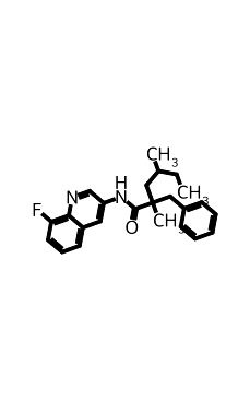 CCC(C)CC(C)(Cc1ccccc1)C(=O)Nc1cnc2c(F)cccc2c1